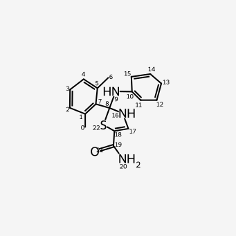 Cc1cccc(C)c1C1(Nc2ccccc2)NC=C(C(N)=O)S1